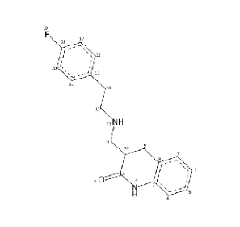 O=C1Nc2ccccc2CC1CNCCc1ccc(F)cc1